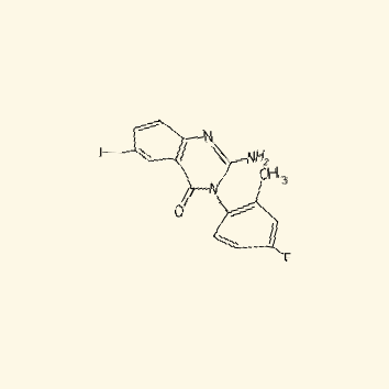 Cc1cc(F)ccc1-n1c(N)nc2ccc(I)cc2c1=O